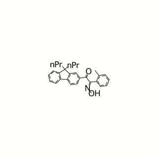 CCCC1(CCC)c2ccccc2-c2ccc(C(=O)C(=NO)c3ccccc3C)cc21